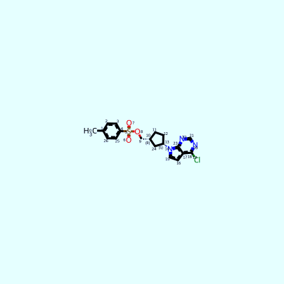 Cc1ccc(S(=O)(=O)OC[C@@H]2CC[C@H](n3ccc4c(Cl)ncnc43)C2)cc1